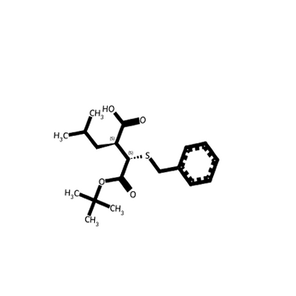 CC(C)C[C@@H](C(=O)O)[C@H](SCc1ccccc1)C(=O)OC(C)(C)C